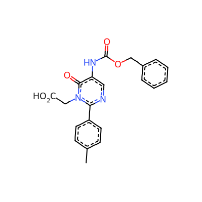 Cc1ccc(-c2ncc(NC(=O)OCc3ccccc3)c(=O)n2CC(=O)O)cc1